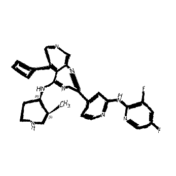 C[C@H]1CNCC[C@H]1Nc1nc(-c2ccnc(Nc3ncc(F)cc3F)c2)nc2cncc(C3=CC=C3)c12